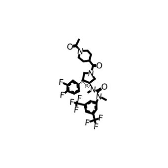 CC(=O)N1CCC(C(=O)N2C[C@@H](N(C)C(=O)N(C)c3cc(C(F)(F)F)cc(C(F)(F)F)c3)[C@H](c3ccc(F)c(F)c3)C2)CC1